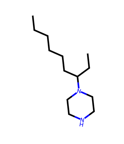 CCCCCCC(CC)N1CCNCC1